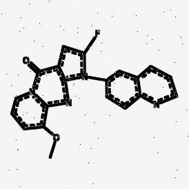 COc1cccn2c(=O)c3cc(F)n(-c4ccc5ncccc5c4)c3nc12